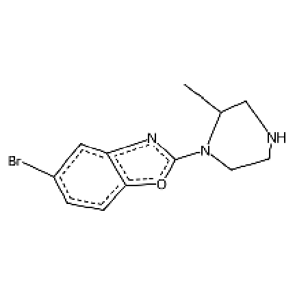 CC1CNCCN1c1nc2cc(Br)ccc2o1